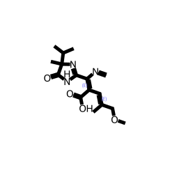 C=N/C(C1=NC(C)(C(C)C)C(=O)N1)=C(\C=C(/C)COC)C(=O)O